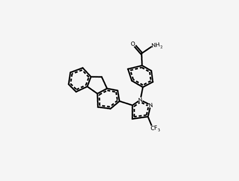 NC(=O)c1ccc(-n2nc(C(F)(F)F)cc2-c2ccc3c(c2)Cc2ccccc2-3)cc1